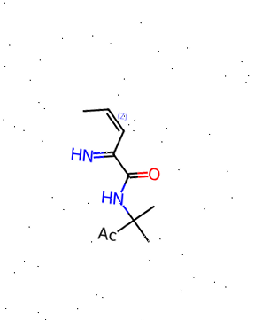 C/C=C\C(=N)C(=O)NC(C)(C)C(C)=O